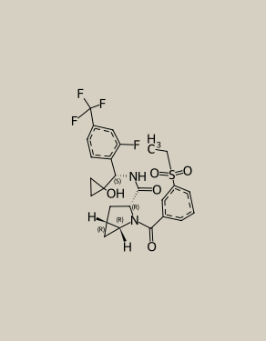 CCS(=O)(=O)c1cccc(C(=O)N2[C@@H](C(=O)N[C@@H](c3ccc(C(F)(F)F)cc3F)C3(O)CC3)C[C@H]3C[C@H]32)c1